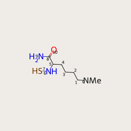 CNCCCCC(NS)C(N)=O